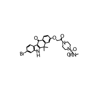 CNS(=O)(=O)N1CCN(C(=O)COc2ccc3c(c2)C(C)(C)c2[nH]c4cc(Br)ccc4c2C3=O)CC1